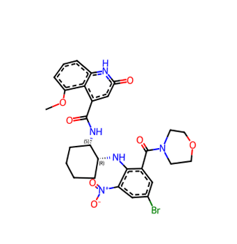 COc1cccc2[nH]c(=O)cc(C(=O)N[C@H]3CCCC[C@H]3Nc3c(C(=O)N4CCOCC4)cc(Br)cc3[N+](=O)[O-])c12